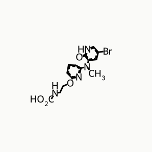 CN(c1cccc(OCCNC(=O)O)n1)c1cc(Br)c[nH]c1=O